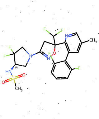 Cc1cnc(C2(C(F)F)CC(N3C[C@@H](NS(C)(=O)=O)C(F)(F)C3)=NO2)c(-c2c(F)cccc2F)c1